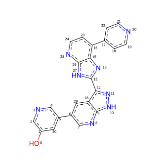 Oc1cncc(-c2cnc3[nH]nc(-c4nc5c(-c6ccncc6)ccnc5[nH]4)c3c2)c1